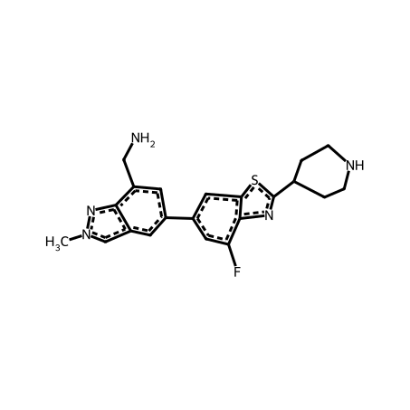 Cn1cc2cc(-c3cc(F)c4nc(C5CCNCC5)sc4c3)cc(CN)c2n1